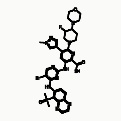 Cn1cc(-c2cc(Nc3ncc(Br)c(Nc4ccc5nccnc5c4P(C)(C)=O)n3)c(C(=O)S)nc2N2CCC(N3CCOCC3)C(F)C2)cn1